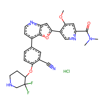 COc1cc(C(=O)N(C)C)ncc1-c1cc2nccc(-c3ccc(OC4CCNCC4(F)F)c(C#N)c3)c2o1.Cl